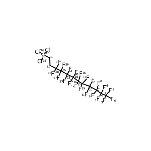 FC(F)(F)C(F)(F)C(F)(F)C(F)(F)C(F)(F)C(F)(F)C(F)(F)C(F)(F)C(F)(F)C(F)(F)CC[Si](Cl)(Cl)Cl